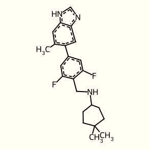 Cc1cc2[nH]cnc2cc1-c1cc(F)c(CNC2CCC(C)(C)CC2)c(F)c1